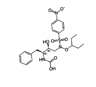 CCC(CC)ON(C[C@H](O)[C@H](Cc1ccccc1)NC(=O)O)S(=O)(=O)c1ccc([N+](=O)[O-])cc1